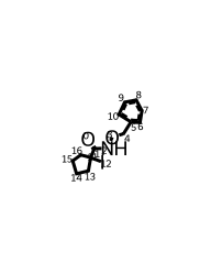 O=C(NOCc1ccccc1)C1(I)CCCC1